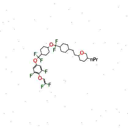 CCCC1CCC(CCC2CCC(C(F)(F)OC3CCC(C(F)(F)Oc4cc(F)c(OC=C(F)F)c(F)c4)CC3)CC2)OC1